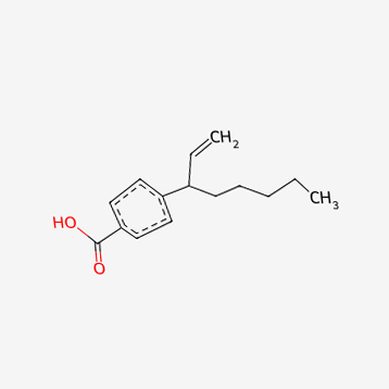 C=CC(CCCCC)c1ccc(C(=O)O)cc1